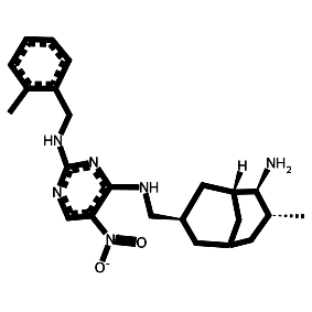 Cc1ccccc1CNc1ncc([N+](=O)[O-])c(NC[C@@H]2CC3C[C@H](C2)[C@@H](N)[C@H](C)C3)n1